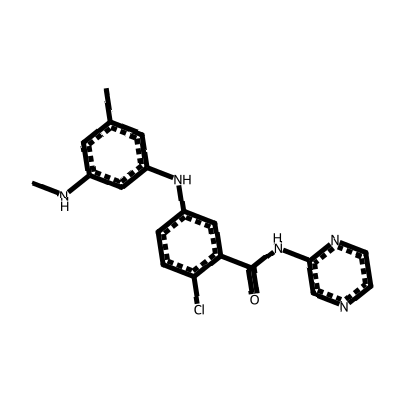 CNc1cc(C)cc(Nc2ccc(Cl)c(C(=O)Nc3cnccn3)c2)c1